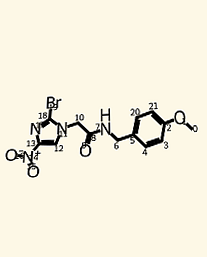 COc1ccc(CNC(=O)Cn2cc([N+](=O)[O-])nc2Br)cc1